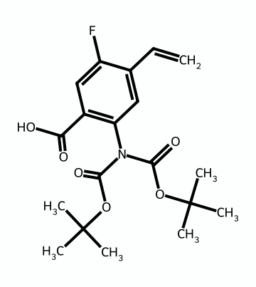 C=Cc1cc(N(C(=O)OC(C)(C)C)C(=O)OC(C)(C)C)c(C(=O)O)cc1F